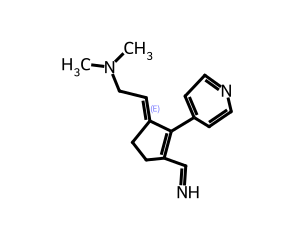 CN(C)C/C=C1\CCC(C=N)=C1c1ccncc1